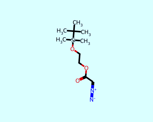 CC(C)(C)[Si](C)(C)OCCOC(=O)C=[N+]=[N-]